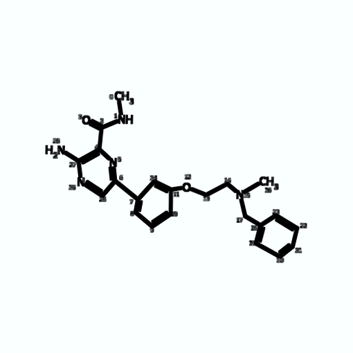 CNC(=O)c1nc(-c2cccc(OCCN(C)Cc3ccccc3)c2)cnc1N